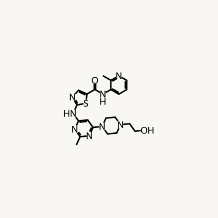 Cc1nc(Nc2ncc(C(=O)Nc3cccnc3C)s2)cc(N2CCN(CCO)CC2)n1